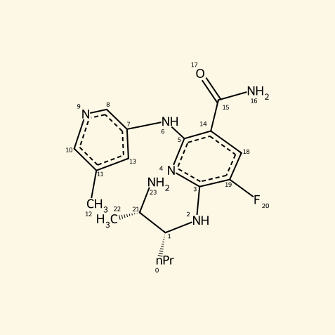 CCC[C@@H](Nc1nc(Nc2cncc(C)c2)c(C(N)=O)cc1F)[C@H](C)N